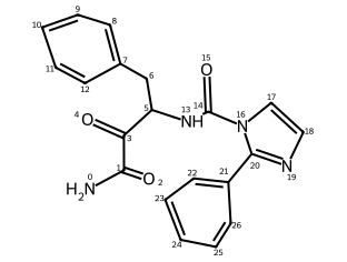 NC(=O)C(=O)C(Cc1ccccc1)NC(=O)n1ccnc1-c1ccccc1